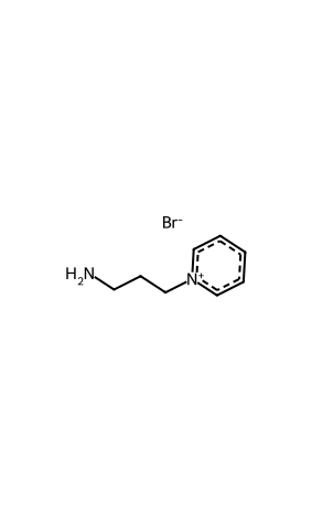 NCCC[n+]1ccccc1.[Br-]